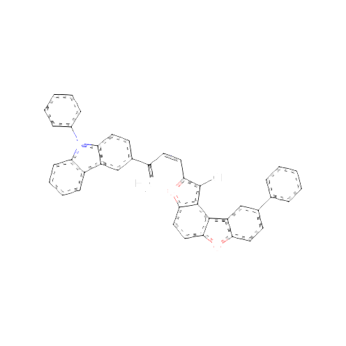 C=C(/C=C\c1oc2ccc3oc4ccc(-c5ccccc5)cc4c3c2c1C)c1ccc2c(c1)c1ccccc1n2-c1ccccc1